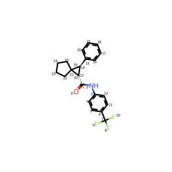 O=C(Nc1ccc(C(F)(F)F)cc1)[C@H]1[C@H](c2ccccc2)C12CCCC2